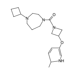 CC1C=CC(OC2CN(C(=O)N3CCCN(C4CCC4)CC3)C2)=CN1